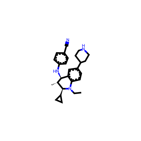 CCN1c2ccc(C3CCNCC3)cc2[C@H](Nc2ccc(C#N)cc2)[C@@H](C)[C@@H]1C1CC1